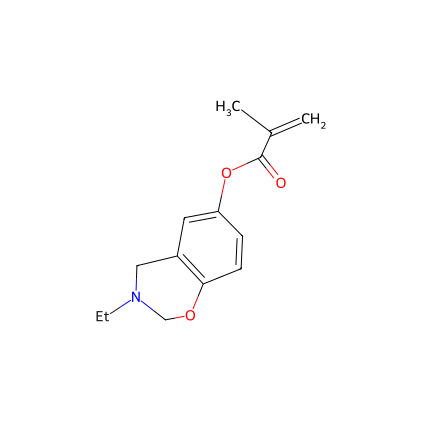 C=C(C)C(=O)Oc1ccc2c(c1)CN(CC)CO2